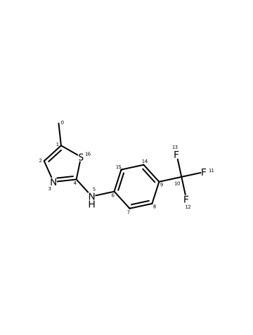 Cc1cnc(Nc2ccc(C(F)(F)F)cc2)s1